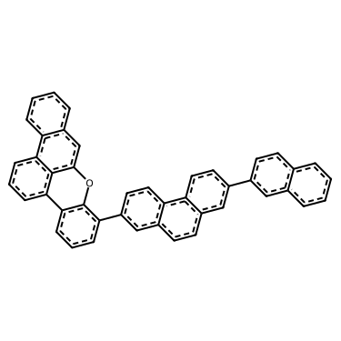 c1cc(-c2ccc3c(ccc4cc(-c5ccc6ccccc6c5)ccc43)c2)c2c(c1)-c1cccc3c1c(cc1ccccc13)O2